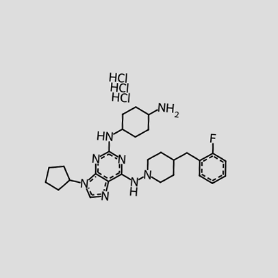 Cl.Cl.Cl.NC1CCC(Nc2nc(NN3CCC(Cc4ccccc4F)CC3)c3ncn(C4CCCC4)c3n2)CC1